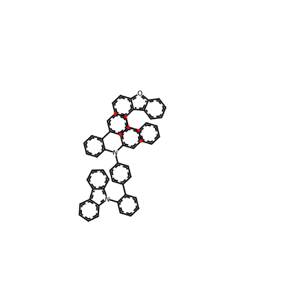 c1ccc(-c2cccc(-c3ccccc3N(c3ccc(-c4ccccc4-n4c5ccccc5c5ccccc54)cc3)c3cccc(-c4cccc5oc6ccccc6c45)c3)c2)cc1